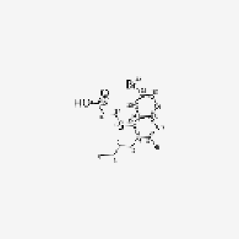 CCCCc1c(C)nc2ccc(Br)cc2c1SCCC(=O)O